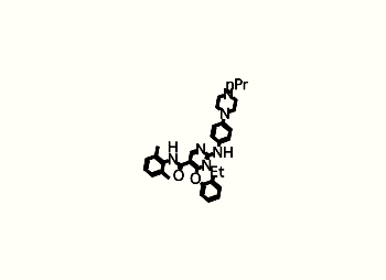 CCCN1CCN(c2ccc(Nc3ncc(C(=O)Nc4c(C)cccc4C)c(Oc4ccccc4CC)n3)cc2)CC1